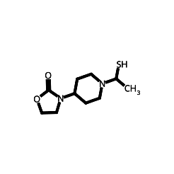 CC(S)N1CCC(N2CCOC2=O)CC1